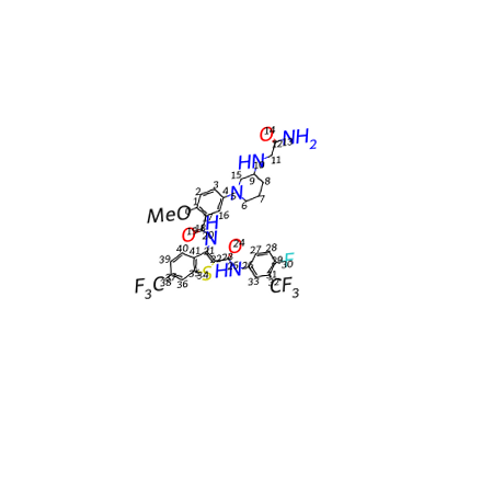 COc1ccc(N2CCCC(NCC(N)=O)C2)cc1C(=O)Nc1c(C(=O)Nc2ccc(F)c(C(F)(F)F)c2)sc2cc(C(F)(F)F)ccc12